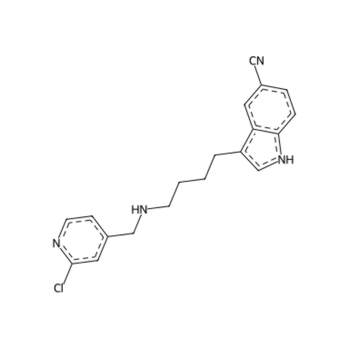 N#Cc1ccc2[nH]cc(CCCCNCc3ccnc(Cl)c3)c2c1